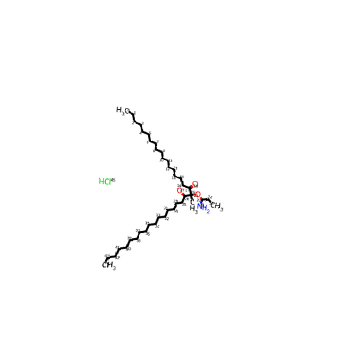 CCCCCCCCCCCCCCCCCC(=O)C(C)(OC(N)CC)C(=O)CCCCCCCCCCCCCCCCC.Cl